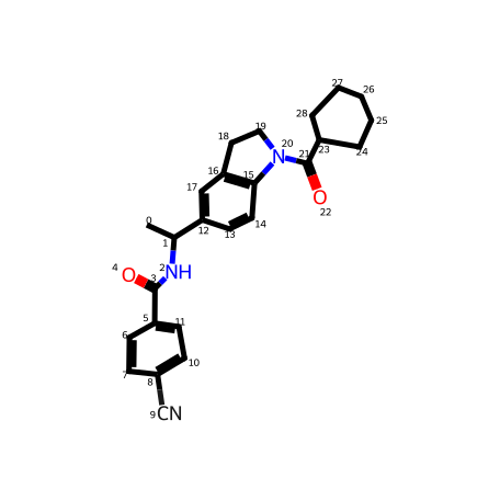 CC(NC(=O)c1ccc(C#N)cc1)c1ccc2c(c1)CCN2C(=O)C1CCCCC1